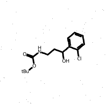 CC(C)(C)OC(=O)NCCC(O)c1ccccc1Cl